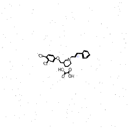 Clc1ccc(OCC2CCCN(C/C=C/c3ccccc3)C2)cc1Cl.O=C(O)C(=O)O